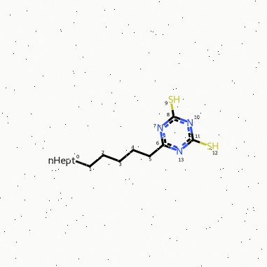 CCCCCCCCCCCCc1nc(S)nc(S)n1